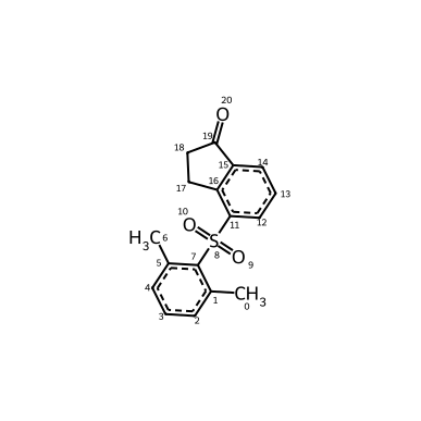 Cc1cccc(C)c1S(=O)(=O)c1cccc2c1CCC2=O